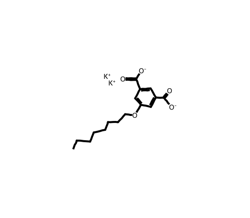 CCCCCCCCOc1cc(C(=O)[O-])cc(C(=O)[O-])c1.[K+].[K+]